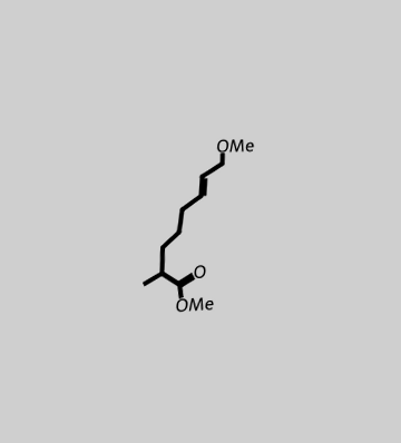 COCC=CCCCC(C)C(=O)OC